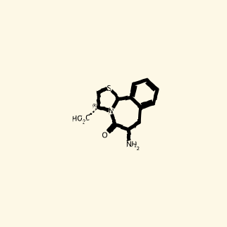 NC1Cc2ccccc2C2SC[C@@H](C(=O)O)N2C1=O